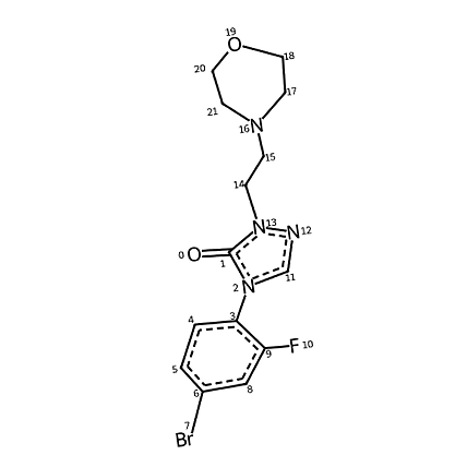 O=c1n(-c2ccc(Br)cc2F)cnn1CCN1CCOCC1